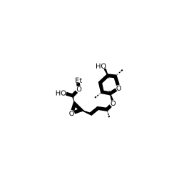 CCOC(O)[C@H]1O[C@@H]1CC[C@@H](C)O[C@@H]1O[C@@H](C)[C@H](O)C[C@H]1C